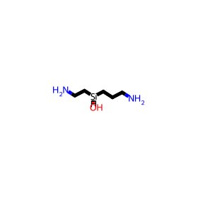 NCCC[SiH](O)CCN